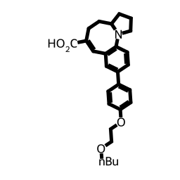 CCCCOCCOc1ccc(-c2ccc3c(c2)/C=C(/C(=O)O)CCC2CCCN32)cc1